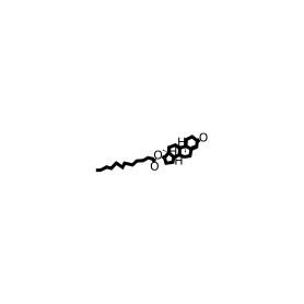 CCCCCCCCCCCC(=O)OC1CC[C@H]2[C@@H]3CCC4=CC(=O)CC[C@]4(C)[C@H]3CC[C@]12C